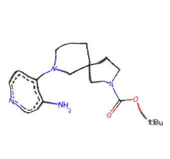 CC(C)(C)OC(=O)N1CCC2(CCCN(c3ccncc3N)C2)C1